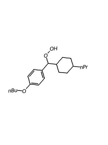 CCCCOc1ccc(C(OO)C2CCC(CCC)CC2)cc1